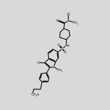 CCN(C)C(=O)C1CCC(NS(=O)(=O)c2ccc3c(Cl)c(-c4ccc(CCC(=O)O)cc4)n(C)c3c2)CC1